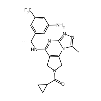 Cc1nnc2nc(N[C@H](C)c3cc(N)cc(C(F)(F)F)c3)c3c(n12)CN(C(=O)C1CC1)C3